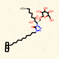 CCCCCCCCCCCCCC[C@@H](O)[C@@H](O)[C@H](COC1OC(CO)C(O)C(O)C1O)n1nnn(CCCCCCCCCCCC23C4C5C6C4C2C6C53)c1=O